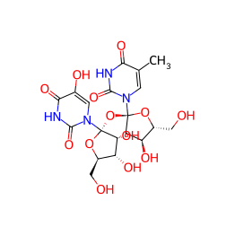 Cc1cn([C@@]2(O[C@@]3(n4cc(O)c(=O)[nH]c4=O)O[C@H](CO)[C@@H](O)[C@H]3O)C[C@H](O)[C@@H](CO)O2)c(=O)[nH]c1=O